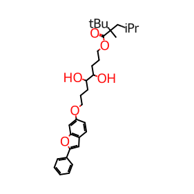 CC(C)CC(C)(C(=O)OCCCC(O)C(O)CCCOc1ccc2cc(-c3ccccc3)oc2c1)C(C)(C)C